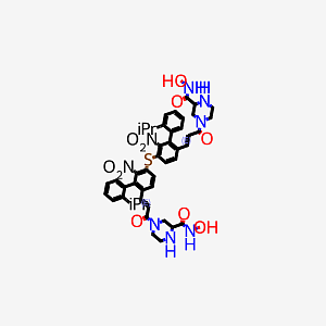 CC(C)c1ccccc1-c1c(/C=C/C(=O)N2CCNC(C(=O)NO)C2)ccc(Sc2ccc(/C=C/C(=O)N3CCNC(C(=O)NO)C3)c(-c3ccccc3C(C)C)c2[N+](=O)[O-])c1[N+](=O)[O-]